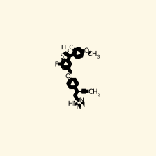 CC#C[C@@H](Cc1nnn[nH]1)c1ccc(OCc2cc(F)c3scc(-c4ccc(OC)cc4C)c3c2)cc1